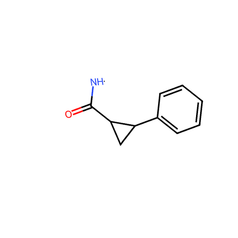 [NH]C(=O)C1CC1c1ccccc1